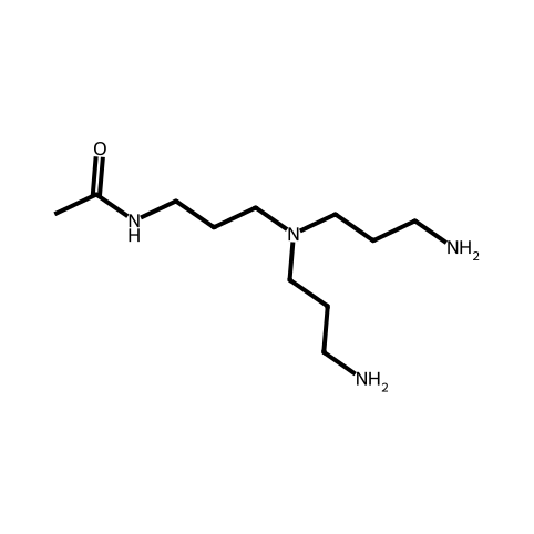 CC(=O)NCCCN(CCCN)CCCN